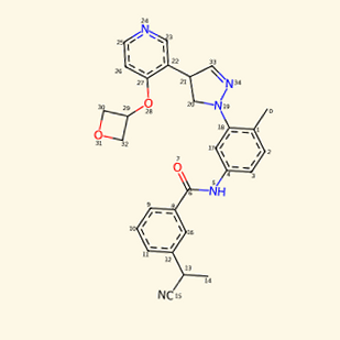 Cc1ccc(NC(=O)c2cccc(C(C)C#N)c2)cc1N1CC(c2cnccc2OC2COC2)C=N1